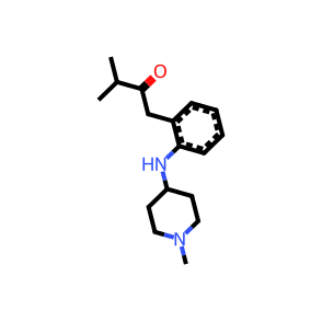 CC(C)C(=O)Cc1ccccc1NC1CCN(C)CC1